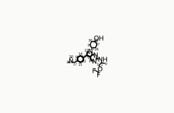 CC(COC(F)F)Nc1ncc2c(-c3ccc(CN(C)C)cc3)cn(C3CCC(O)CC3)c2n1